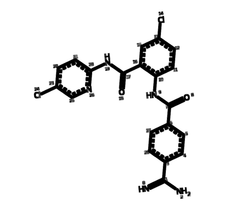 N=C(N)c1ccc(C(=O)Nc2ccc(Cl)cc2C(=O)Nc2ccc(Cl)cn2)cc1